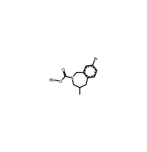 CC1Cc2ccc(Br)cc2CN(C(=O)OC(C)(C)C)C1